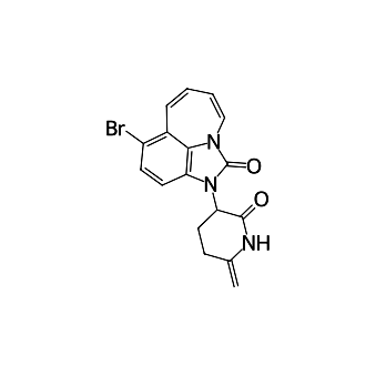 C=C1CCC(n2c(=O)n3c4c(c(Br)ccc42)C=CC=C3)C(=O)N1